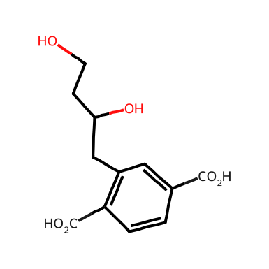 O=C(O)c1ccc(C(=O)O)c(CC(O)CCO)c1